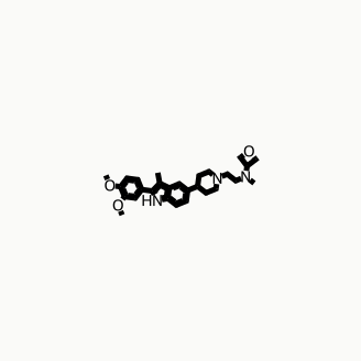 COc1ccc(-c2[nH]c3ccc(C4CCN(CCN(C)C5COC5)CC4)cc3c2C)cc1OC